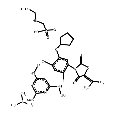 CC(C)=C1OC(=O)N(c2cc(OC3CCCC3)c(Cl)cc2F)C1=O.CCNc1nc(NC(C)(C)C)nc(SC)n1.C[S+](C)C.O=C(O)CNCP(=O)([O-])O